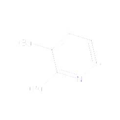 CC(C)(C)c1cccnc1C(C)(C)C